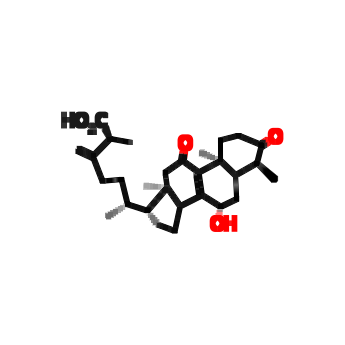 C=C(CC[C@@H](C)[C@H]1CCC2C3=C(C(=O)C[C@@]21C)[C@@]1(C)CCC(=O)[C@@H](C)C1C[C@@H]3O)[C@H](C)C(=O)O